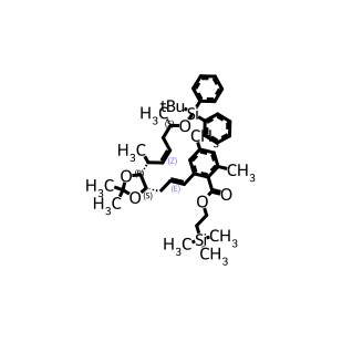 Cc1cc(C)c(C(=O)OCC[Si](C)(C)C)c(/C=C/C[C@@H]2OC(C)(C)O[C@@H]2C(C)/C=C\C[C@H](C)O[Si](c2ccccc2)(c2ccccc2)C(C)(C)C)c1